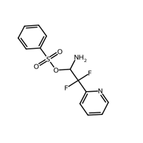 NC(OS(=O)(=O)c1ccccc1)C(F)(F)c1ccccn1